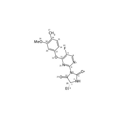 CC[C@H]1NC(=O)N(c2ncc(F)c(Oc3ccc(C)c(OC)c3)n2)C1=O